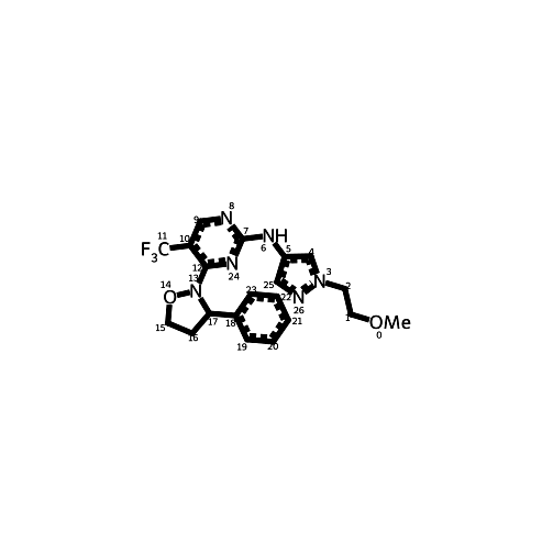 COCCn1cc(Nc2ncc(C(F)(F)F)c(N3OCCC3c3ccccc3)n2)cn1